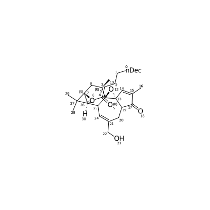 CCCCCCCCCCCCCC(=O)O[C@@]12C[C@@H](C)[C@]34O[C@@]35C=C(C)C(=O)C5CC(CO)=CC4[C@H]1C2(C)C